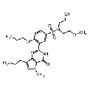 CCCOc1ccc(S(=O)(=O)N(CCO)CCOC)cc1-c1nc2c(CCC)nn(C)c2c(=O)[nH]1